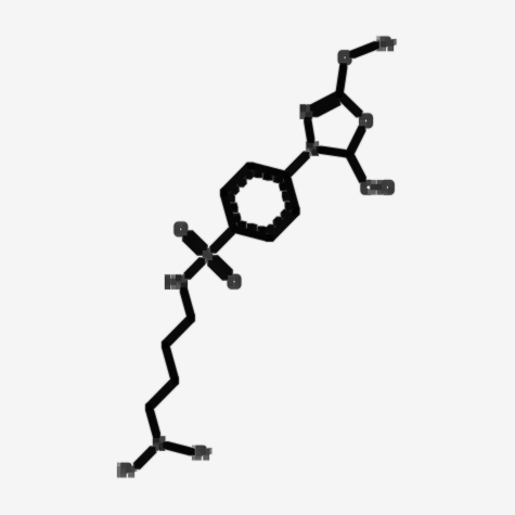 CC(C)OC1=NN(c2ccc(S(=O)(=O)NCCCCN(C(C)C)C(C)C)cc2)C(C=O)O1